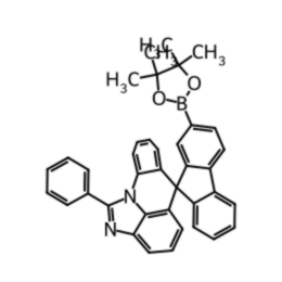 CC1(C)OB(c2ccc3c(c2)C2(c4ccccc4-3)c3ccccc3-n3c(-c4ccccc4)nc4cccc2c43)OC1(C)C